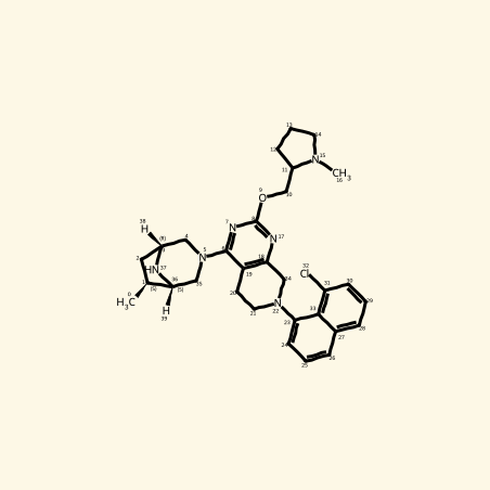 C[C@H]1C[C@@H]2CN(c3nc(OCC4CCCN4C)nc4c3CCN(c3cccc5cccc(Cl)c35)C4)C[C@H]1N2